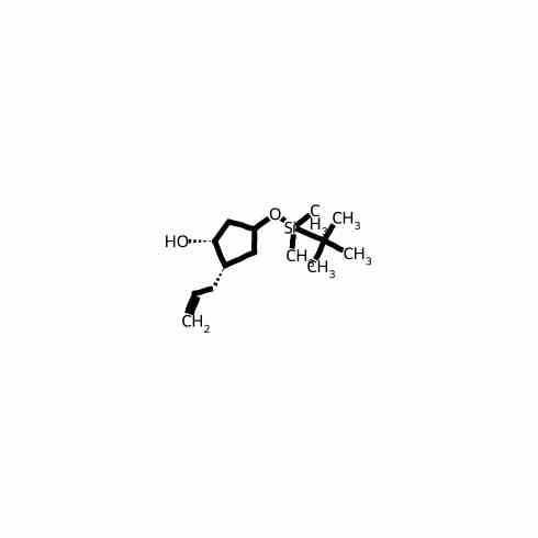 C=CC[C@H]1CC(O[Si](C)(C)C(C)(C)C)C[C@H]1O